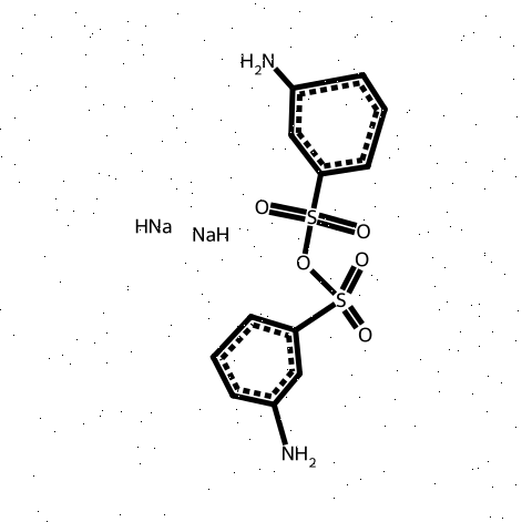 Nc1cccc(S(=O)(=O)OS(=O)(=O)c2cccc(N)c2)c1.[NaH].[NaH]